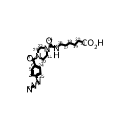 [N-]=[N+]=Nc1ccc(C(=O)N2CCN(C(=O)NCCCCCC(=O)O)CC2)cc1